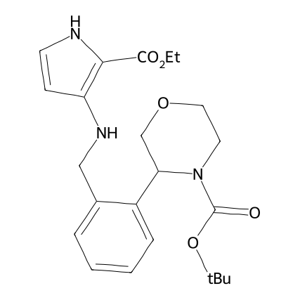 CCOC(=O)c1[nH]ccc1NCc1ccccc1C1COCCN1C(=O)OC(C)(C)C